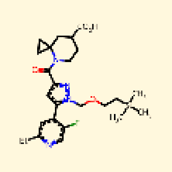 CCc1cc(-c2cc(C(=O)N3CCC(C(=O)O)CC34CC4)nn2COCC[Si](C)(C)C)c(F)cn1